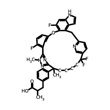 CC(Cc1cccc(C2(C)CCCCC(F)(F)c3ccc(nc3)Cc3c(c(F)cc4[nH]ccc34)Oc3ccc(F)c(c3)-c3nc2nn3C)c1)C(=O)O